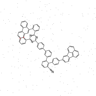 N#Cc1cccc(-c2cccc(-c3ccc(-c4nc(-c5ccccc5)nc(-c5ccccc5-c5cc6ccccc6c6ccccc56)n4)cc3)c2)c1-c1ccc(-c2ccc3c(c2)-c2cccc4cccc-3c24)cc1